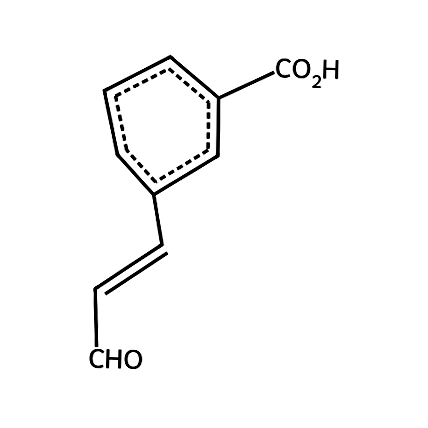 O=CC=Cc1cccc(C(=O)O)c1